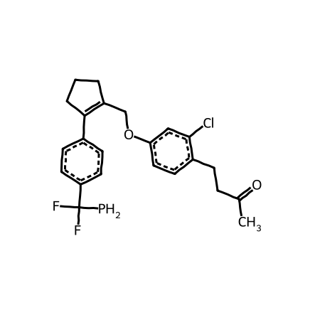 CC(=O)CCc1ccc(OCC2=C(c3ccc(C(F)(F)P)cc3)CCC2)cc1Cl